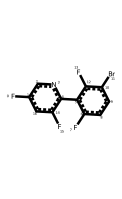 Fc1cnc(-c2c(F)ccc(Br)c2F)c(F)c1